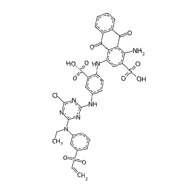 C=CS(=O)(=O)c1cccc(N(CC)c2nc(Cl)nc(Nc3ccc(Nc4cc(S(=O)(=O)O)c(N)c5c4C(=O)c4ccccc4C5=O)c(S(=O)(=O)O)c3)n2)c1